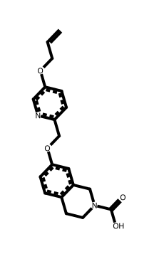 C=CCOc1ccc(COc2ccc3c(c2)CN(C(=O)O)CC3)nc1